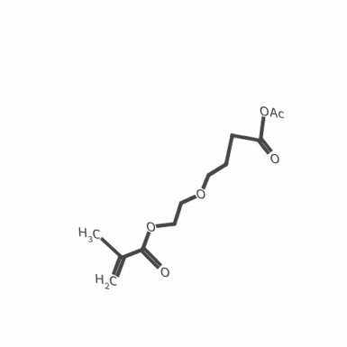 C=C(C)C(=O)OCCOCCCC(=O)OC(C)=O